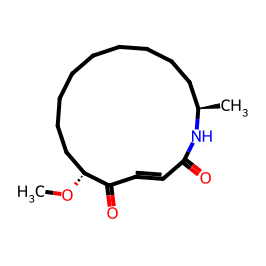 CO[C@@H]1CCCCCCCCC[C@@H](C)NC(=O)/C=C/C1=O